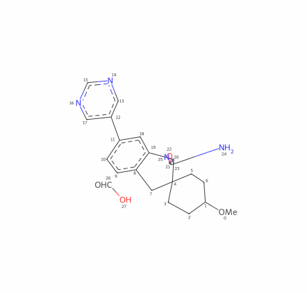 COC1CCC2(CC1)Cc1ccc(-c3cncnc3)cc1C21COC(N)=N1.O=CO